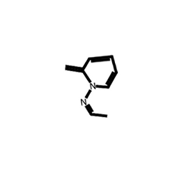 C=C1C=CC=CN1/N=C\C